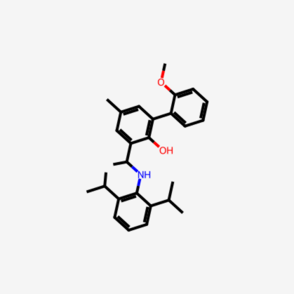 COc1ccccc1-c1cc(C)cc(C(C)Nc2c(C(C)C)cccc2C(C)C)c1O